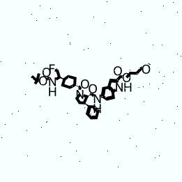 COCCCOC(=O)c1cc2cc(NC(=O)[C@@H]3[C@@H](c4ccccc4)CCN3C(=O)[C@H]3CC[C@H](C(CF)NC(=O)OC(C)(C)C)CC3)ccc2[nH]1